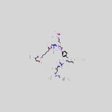 CCCN(C(=O)C[C@@H](C)CC)C(C[C@@H](OC(C)=O)c1nc(C(=O)N[C@@H](Cc2ccc(NC(=O)[C@H](CCCNC(N)=O)NC(=O)C(NC(=O)CCCCCN3C(=O)CC(S)C3=O)C(C)C)cc2)C[C@H](C)C(=O)O)cs1)C(C)C